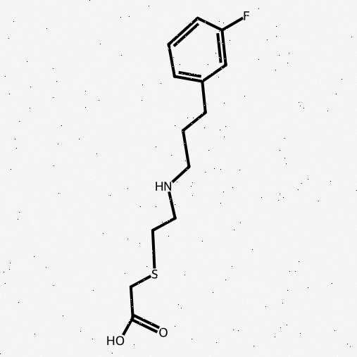 O=C(O)CSCCNCCCc1cccc(F)c1